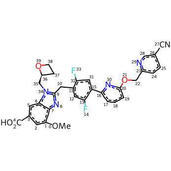 COc1cc(C(=O)O)cc2c1nc(Cc1cc(F)c(-c3cccc(OCc4ccc(C#N)cn4)n3)cc1F)n2C[C@@H]1CCO1